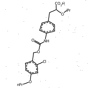 CCCOc1ccc(COC(=O)Nc2ccc(CC(OC(C)C)C(=O)O)cc2)c(Cl)c1